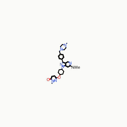 CNc1cc2c(cn1)c(-c1ccc(CN3CCN(C)CC3)cc1)nn2C1CCC(Oc2ccc(=O)n(C)n2)CC1